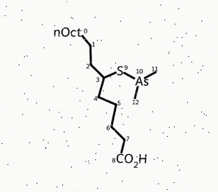 CCCCCCCCCCC(CCCCC(=O)O)S[As](C)C